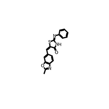 Cc1nc2ccc(C=C3SC(=Nc4ccccc4)NC3=O)cc2o1